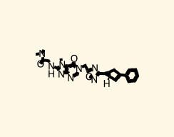 CN(C)C(=O)CNc1nc2ncn(Cc3nc(C4C5CC(c6ccccc6)=C[C@@H]54)no3)c(=O)c2n1C